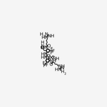 N=C(N)NCCCCC(=O)Nc1cc(C(F)(F)F)cc(NC(=O)Nc2cc(C(F)(F)F)cc(NC(=O)CCCCNC(=N)N)c2OC2CCNC2)c1CC1CCNC1